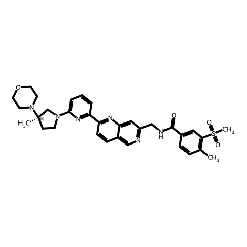 Cc1ccc(C(=O)NCc2cc3nc(-c4cccc(N5CC[C@@](C)(N6CCOCC6)C5)n4)ccc3cn2)cc1S(C)(=O)=O